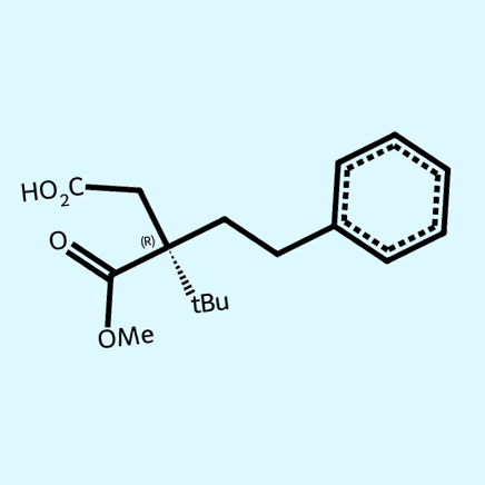 COC(=O)[C@](CCc1ccccc1)(CC(=O)O)C(C)(C)C